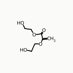 C=C(OCCO)C(=O)OCCO